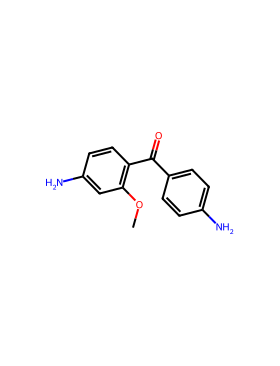 COc1cc(N)ccc1C(=O)c1ccc(N)cc1